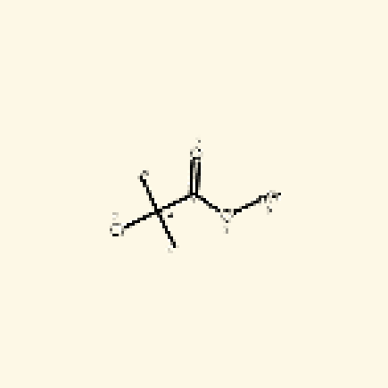 CCCOC(=O)C(C)(C)Cl